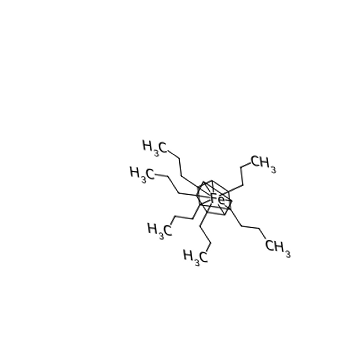 CCC[C]12[CH]3[CH]4[CH]5[C]1(CCC)[Fe]43521678[CH]2[C]1(CCC)[C]6(CCC)[C]7(CCC)[C]28CCC